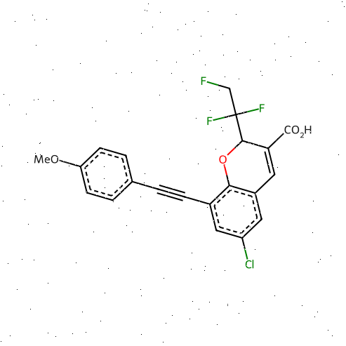 COc1ccc(C#Cc2cc(Cl)cc3c2OC(C(F)(F)CF)C(C(=O)O)=C3)cc1